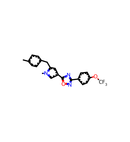 Cc1ccc(Cc2cc(-c3nc(-c4ccc(OC(F)(F)F)cc4)no3)cn2C)cc1